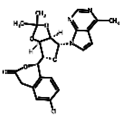 Cc1ncnc2c1ccn2[C@@H]1O[C@H]([C@@H]2OC(=O)Cc3cc(Cl)ccc32)[C@H]2OC(C)(C)O[C@H]21